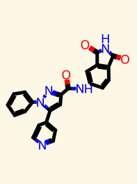 O=C(Nc1ccc2c(c1)C(=O)NC2=O)c1cc(-c2ccncc2)n(-c2ccccc2)n1